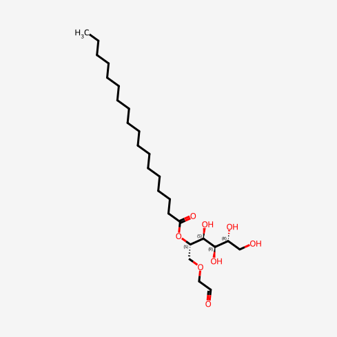 CCCCCCCCCCCCCCCCCC(=O)O[C@@H](COCC=O)[C@@H](O)[C@H](O)[C@H](O)CO